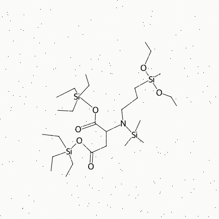 CCO[Si](C)(CCCN(C(CC(=O)O[Si](CC)(CC)CC)C(=O)O[Si](CC)(CC)CC)[Si](C)(C)C)OCC